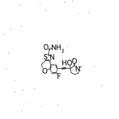 CN1CCCC(O)(C#Cc2cc3c(cc2F)OCCc2sc(C(N)=O)nc2-3)C1=O